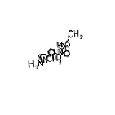 CCCCOC(=O)c1ccccc1NC(=O)c1cccc(C2(C)CCSC(N)=N2)c1